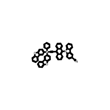 N#Cc1ccc2c(c1)c1ccccc1n2-c1c2ccccc2c(C#C[Si](c2ccccc2)(c2ccc3oc4ccccc4c3c2)c2ccc3oc4ccccc4c3c2)c2ccccc12